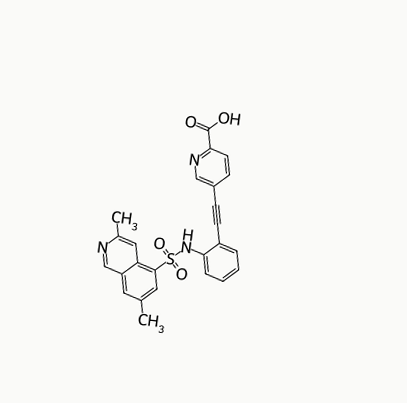 Cc1cc(S(=O)(=O)Nc2ccccc2C#Cc2ccc(C(=O)O)nc2)c2cc(C)ncc2c1